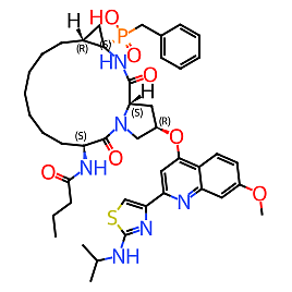 CCCC(=O)N[C@H]1CCCCCCC[C@@H]2C[C@@]2(P(=O)(O)Cc2ccccc2)NC(=O)[C@@H]2C[C@@H](Oc3cc(-c4csc(NC(C)C)n4)nc4cc(OC)ccc34)CN2C1=O